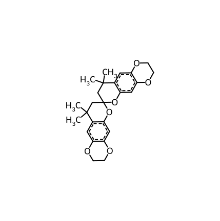 CC1(C)CC2(CC(C)(C)c3cc4c(cc3O2)OCCO4)Oc2cc3c(cc21)OCCO3